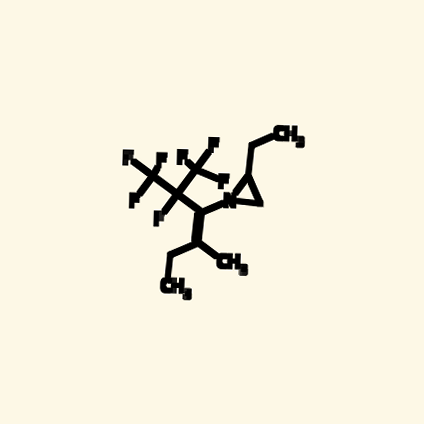 CC/C(C)=C(/N1CC1CC)C(F)(C(F)(F)F)C(F)(F)F